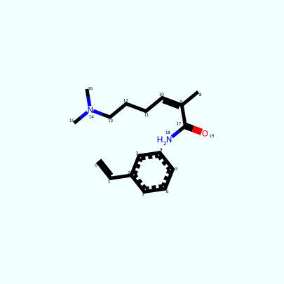 C=Cc1ccccc1.CC(=CCCCN(C)C)C(N)=O